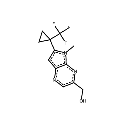 Cn1c(C2(C(F)(F)F)CC2)cc2ncc(CO)nc21